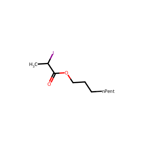 CCCCCCCCOC(=O)C(C)I